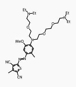 CCN(CC)CCOCCOCCN(CCOCCN(CC)CC)c1cc(C)c(/N=N/c2sc(C#N)c(C)c2C#N)cc1OC